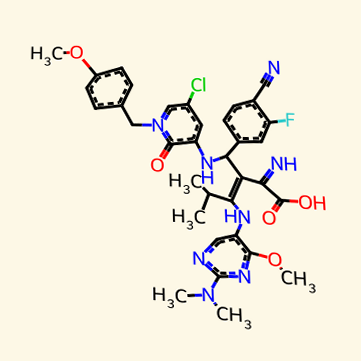 COc1ccc(Cn2cc(Cl)cc(NC(/C(C(=N)C(=O)O)=C(/Nc3cnc(N(C)C)nc3OC)C(C)C)c3ccc(C#N)c(F)c3)c2=O)cc1